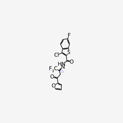 O=C(C/C(=N/NC(=O)c1sc2cc(F)ccc2c1Cl)C(F)(F)F)c1ccco1